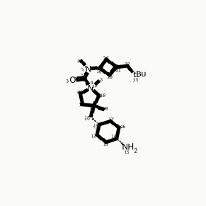 CN(C(=O)[N+]1(C)CCC(C)(C[C@H]2CC[C@@H](N)CC2)C1)C1CC(CC(C)(C)C)C1